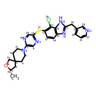 C[C@H]1CC2(CCN(c3cnc(Sc4ccc5nc(Cc6cccnc6)[nH]c5c4Cl)cn3)CC2)CO1